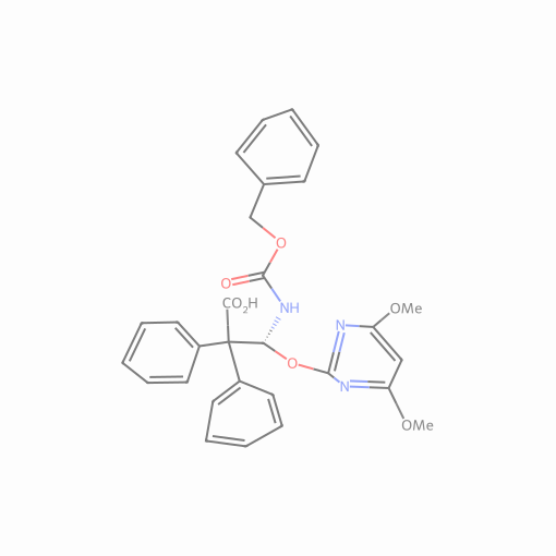 COc1cc(OC)nc(O[C@@H](NC(=O)OCc2ccccc2)C(C(=O)O)(c2ccccc2)c2ccccc2)n1